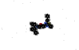 c1ccc(-c2ccc(-c3nc(-c4ccc5c(c4)oc4cc(-n6c7ccc8ccccc8c7c7c8ccccc8c(-c8ccccc8)cc76)ccc45)nc4c3sc3ccccc34)cc2)cc1